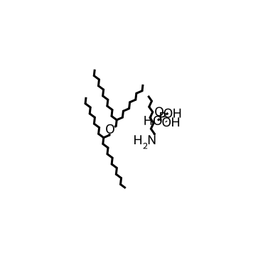 CCCCCCCCCCC(CCCCCCCC)COCC(CCCCCCCC)CCCCCCCCCC.CCCCCCCCN.O=P(O)(O)O